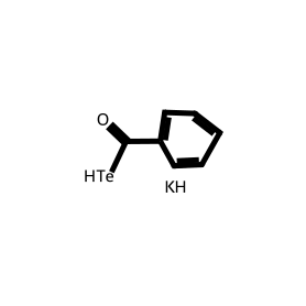 O=C([TeH])c1ccccc1.[KH]